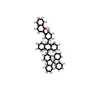 c1ccc(C2(c3ccccc3)c3ccccc3-c3ccc(-c4c5ccccc5c(-c5ccc6oc7c8ccccc8ccc7c6c5)c5ccccc45)cc32)cc1